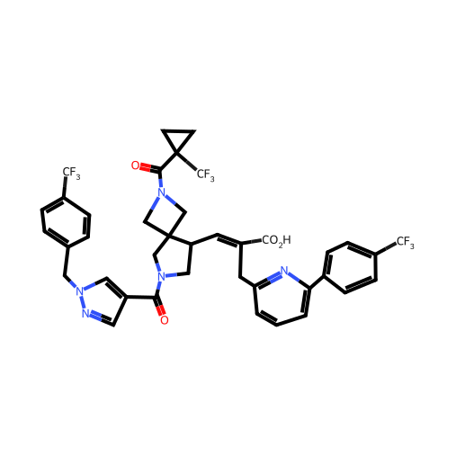 O=C(O)C(=CC1CN(C(=O)c2cnn(Cc3ccc(C(F)(F)F)cc3)c2)CC12CN(C(=O)C1(C(F)(F)F)CC1)C2)Cc1cccc(-c2ccc(C(F)(F)F)cc2)n1